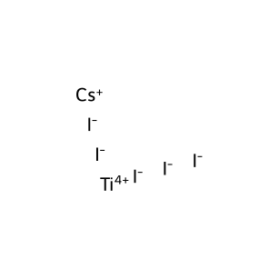 [Cs+].[I-].[I-].[I-].[I-].[I-].[Ti+4]